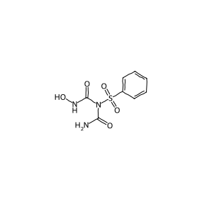 NC(=O)N(C(=O)NO)S(=O)(=O)c1ccccc1